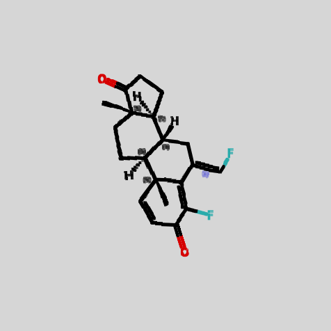 C[C@]12C=CC(=O)C(F)=C1/C(=C/F)C[C@@H]1[C@@H]2CC[C@]2(C)C(=O)CC[C@@H]12